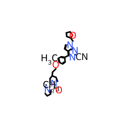 Cc1cc(-c2nc(C#N)nc3c2ccn3CC2CCCO2)ccc1OCCC1CCN(C(=O)[C@@H]2CCCN2C)CC1